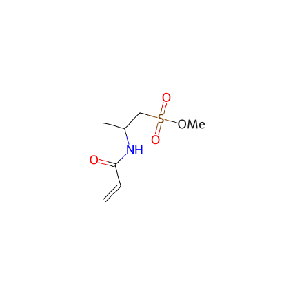 C=CC(=O)NC(C)CS(=O)(=O)OC